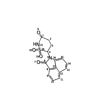 O=C1CCC(N2C(=O)c3cccc4cccc2c34)S(=O)(=O)N1